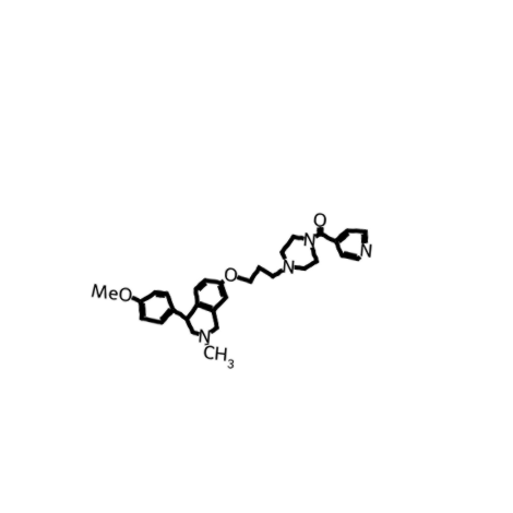 COc1ccc(C2CN(C)Cc3cc(OCCCN4CCN(C(=O)c5ccncc5)CC4)ccc32)cc1